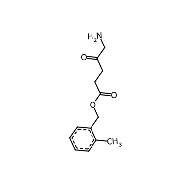 Cc1ccccc1COC(=O)CCC(=O)CN